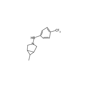 CC1C2CN(Bc3ccc(C(F)(F)F)cc3)CC12